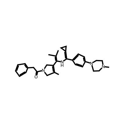 CC(C)=C(NC(=C1CC1)c1ccc(N2CCN(C)CC2)cc1)C1=C(C)CN(C(=O)Cc2ccccc2)C1